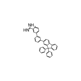 N=C(N)c1cccc(-c2cccc(-c3ccc4c(c3)C(c3ccccc3)(c3ccccc3)c3ccccc3-4)c2)c1